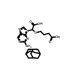 C1C2CC3CC1CC(C2)C3.Nc1ncc2ncn(C(OCCCC(=O)O)C(=O)O)c2n1